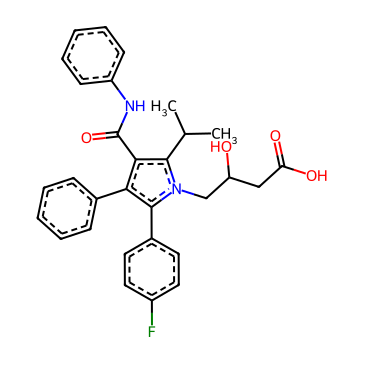 CC(C)c1c(C(=O)Nc2ccccc2)c(-c2ccccc2)c(-c2ccc(F)cc2)n1CC(O)CC(=O)O